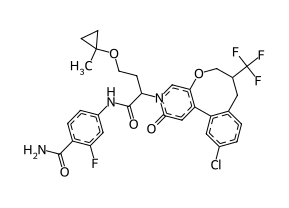 CC1(OCCC(C(=O)Nc2ccc(C(N)=O)c(F)c2)n2cc3c(cc2=O)-c2cc(Cl)ccc2CC(C(F)(F)F)CO3)CC1